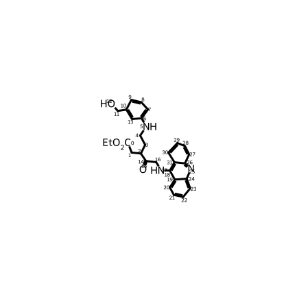 CCOC(=O)CC(CCNc1cccc(CO)c1)C(=O)CNc1c2ccccc2nc2ccccc12